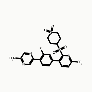 Nc1cnc(-c2ccc(-c3ccc(C(F)(F)F)nc3S(=O)(=O)C3CCS(=O)(=O)CC3)cc2F)cn1